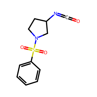 O=C=NC1CCN(S(=O)(=O)c2ccccc2)C1